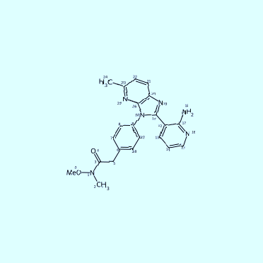 CON(C)C(=O)Cc1ccc(-n2c(-c3cccnc3N)nc3ccc(C)nc32)cc1